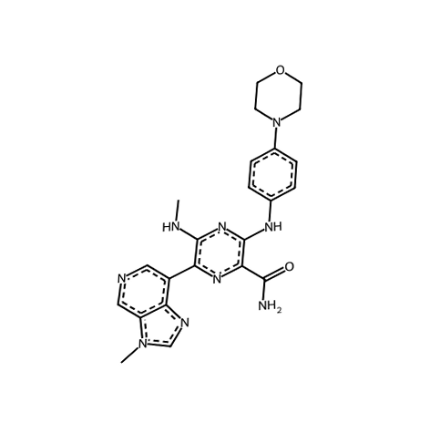 CNc1nc(Nc2ccc(N3CCOCC3)cc2)c(C(N)=O)nc1-c1cncc2c1ncn2C